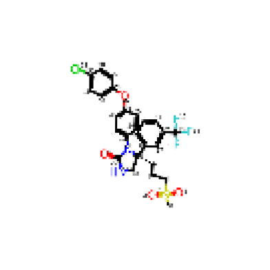 CS(=O)(=O)CCC[C@]1(c2cccc(C(F)(F)F)c2)CNC(=O)N1c1ccc(Oc2ccc(Cl)cc2)cc1